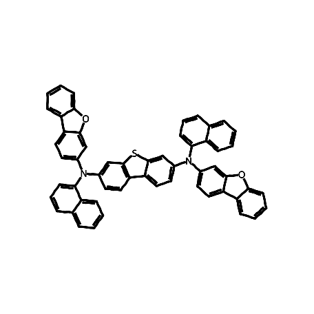 c1ccc2c(N(c3ccc4c(c3)oc3ccccc34)c3ccc4c(c3)sc3cc(N(c5ccc6c(c5)oc5ccccc56)c5cccc6ccccc56)ccc34)cccc2c1